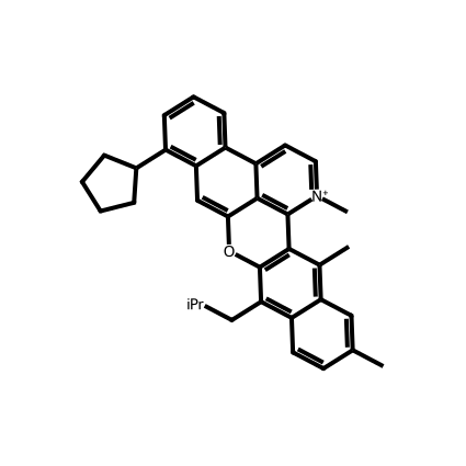 Cc1ccc2c(CC(C)C)c3c(c(C)c2c1)-c1c2c(cc4c(C5CCCC5)cccc4c2cc[n+]1C)O3